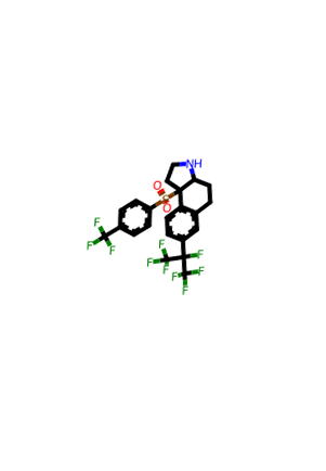 O=S(=O)(c1ccc(C(F)(F)F)cc1)C12CCNC1CCc1cc(C(F)(C(F)(F)F)C(F)(F)F)ccc12